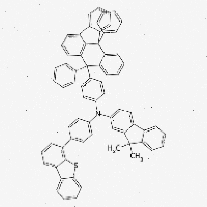 CC1(C)c2ccccc2-c2ccc(N(c3ccc(-c4cccc5c4sc4ccccc45)cc3)c3ccc(C4(c5ccccc5)c5ccccc5C5(c6ccccc6)c6ccccc6-c6cccc4c65)cc3)cc21